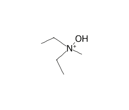 CC[N+](C)(O)CC